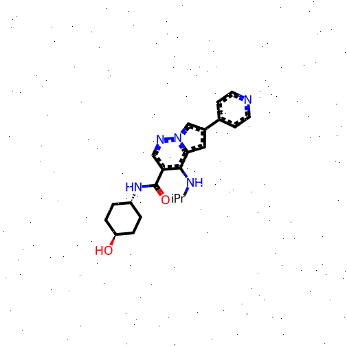 CC(C)Nc1c(C(=O)N[C@H]2CC[C@H](O)CC2)cnn2cc(-c3ccncc3)cc12